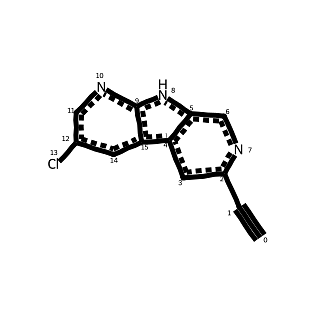 C#Cc1cc2c(cn1)[nH]c1ncc(Cl)cc12